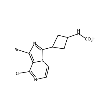 O=C(O)NC1CC(c2nc(Br)c3c(Cl)nccn23)C1